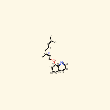 CC(C)=CCC/C(C)=C/COc1cccc2cccnc12